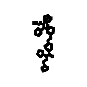 O=C(c1ccc(COc2cccc(C(c3ccccc3)N(C(=O)O)[C@H]3CN4CCC3CC4)c2)cc1)N(CCC1OCCO1)C1CCCC1